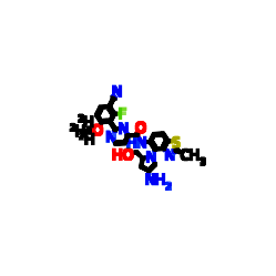 [2H]C([2H])([2H])Oc1ccc(C#N)c(F)c1-c1nccc(C(=O)Nc2ccc3sc(C)nc3c2N2C[C@H](N)C[C@H]2CO)n1